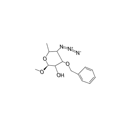 CO[C@H]1OC(C)C(N=[N+]=[N-])C(OCc2ccccc2)C1O